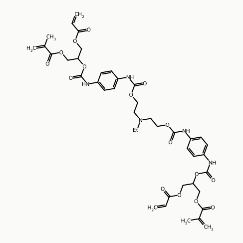 C=CC(=O)OCC(COC(=O)C(=C)C)OC(=O)Nc1ccc(NC(=O)OCCN(CC)CCOC(=O)Nc2ccc(NC(=O)OC(COC(=O)C=C)COC(=O)C(=C)C)cc2)cc1